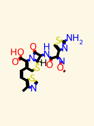 CO/N=C(\C(=O)NC1C(=O)N2C(C(=O)O)=C(/C=C\c3scnc3C)CS[C@H]12)c1csc(N)n1